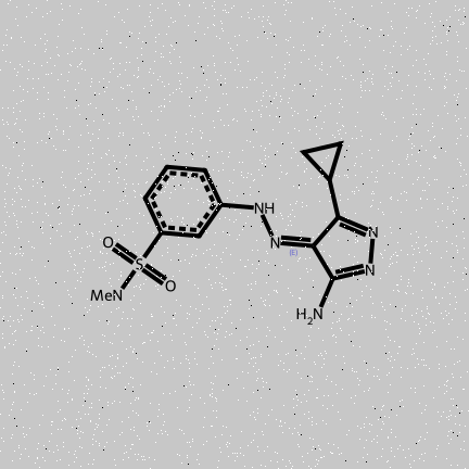 CNS(=O)(=O)c1cccc(N/N=C2/C(N)=NN=C2C2CC2)c1